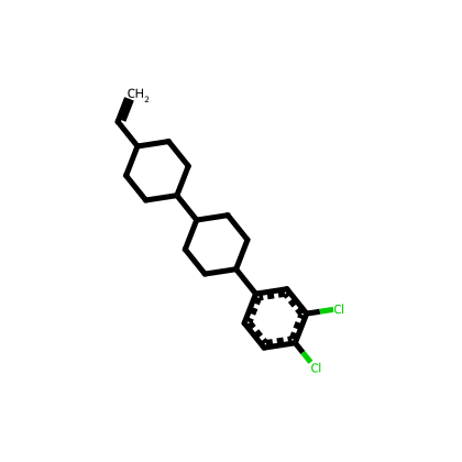 C=CC1CCC(C2CCC(c3ccc(Cl)c(Cl)c3)CC2)CC1